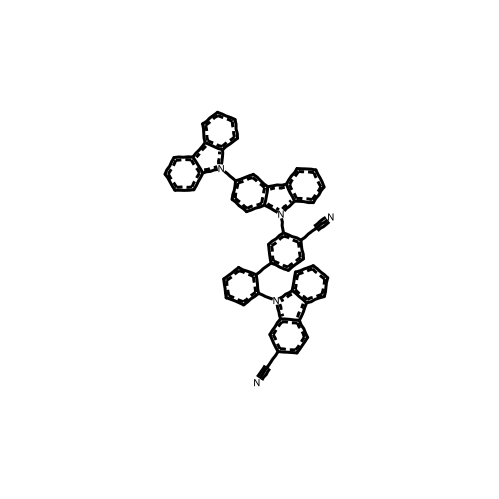 N#Cc1ccc2c3ccccc3n(-c3ccccc3-c3ccc(C#N)c(-n4c5ccccc5c5cc(-n6c7ccccc7c7ccccc76)ccc54)c3)c2c1